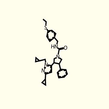 CCSc1ccc(CNC(=O)N2CC(c3ccccc3)C(c3cc(C4CC4)nn3CC3CC3)C2)cc1